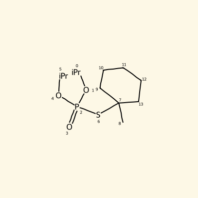 CC(C)OP(=O)(OC(C)C)SC1(C)CCCCC1